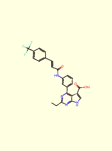 CCc1nc(-c2cccc(NC(=O)/C=C/c3ccc(C(F)(F)F)cc3)c2)c2c(C(=O)O)c[nH]c2n1